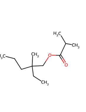 CCCC(C)(CC)COC(=O)C(C)C